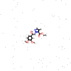 CCOC(=O)c1c(C)cnn1CC(=O)c1ccc(OC)c(OC)c1